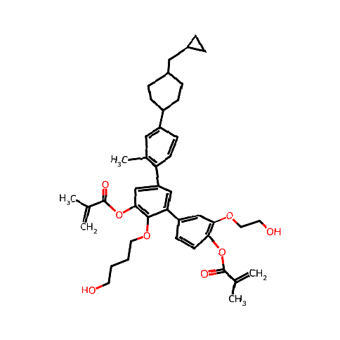 C=C(C)C(=O)Oc1ccc(-c2cc(-c3ccc(C4CCC(CC5CC5)CC4)cc3C)cc(OC(=O)C(=C)C)c2OCCCCO)cc1OCCO